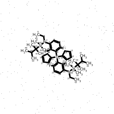 CCN(c1ccc(F)[c]([Ti]([C]2=CC=CC2)([C]2=CC=CC2)[c]2c(F)ccc(N(CC)[Si](C)(C)C(C)(C)C(C)C)c2F)c1F)[Si](C)(C)C(C)(C)C(C)C